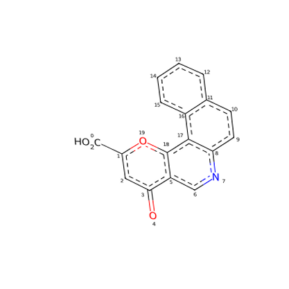 O=C(O)c1cc(=O)c2cnc3ccc4ccccc4c3c2o1